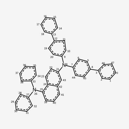 c1ccc(-c2ccc(N(c3ccc(-c4ccccc4)cc3)c3ccc4c(N(c5ccccc5)c5ccccc5)cccc4c3)cc2)cc1